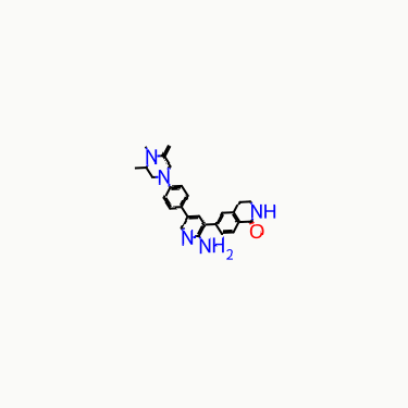 C=C1CN(c2ccc(-c3cnc(N)c(-c4ccc5c(c4)CCNC5=O)c3)cc2)CC(C)N1C